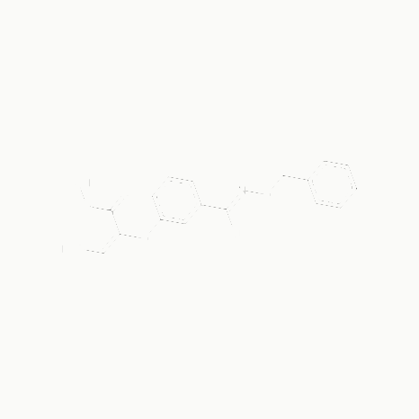 CC=C(Oc1cccc(C(C)=NOCc2ccccc2)c1)C(=O)OC